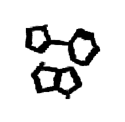 c1cc2sccc2s1.c1ccc(-c2cccs2)cc1